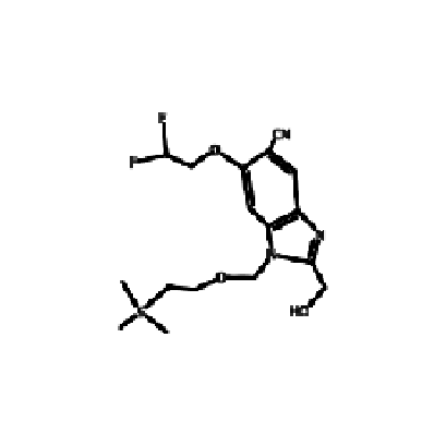 CS(C)(C)CCOCn1c(CO)nc2cc(C#N)c(OCC(F)F)cc21